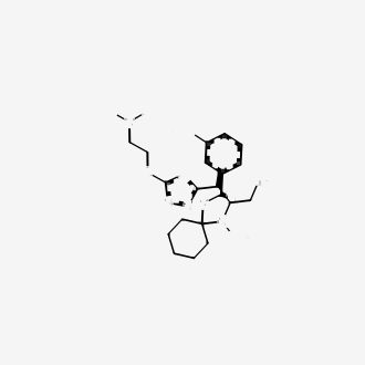 Cc1cccc(C(=O)NC2(N(C=O)C(CC(C)C)C(=O)c3nnc(SCCN(C)C)o3)CCCCC2)c1